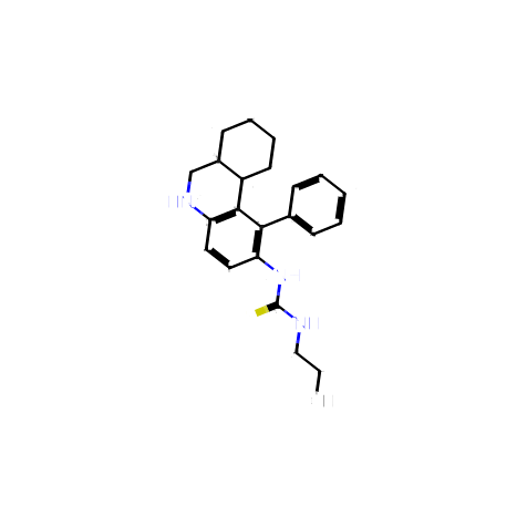 CCCNC(=S)Nc1ccc2c(c1-c1ccccc1)C1CCCCC1CN2